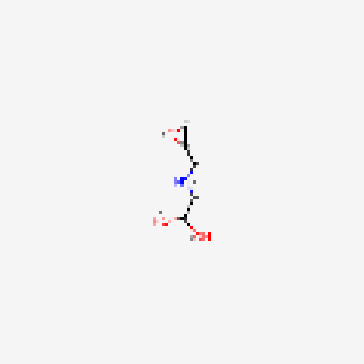 OC(O)CNCC1CO1